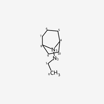 CC[N]N1C2CCCC1CC2